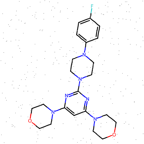 Fc1ccc(N2CCN(c3nc(N4CCOCC4)cc(N4CCOCC4)n3)CC2)cc1